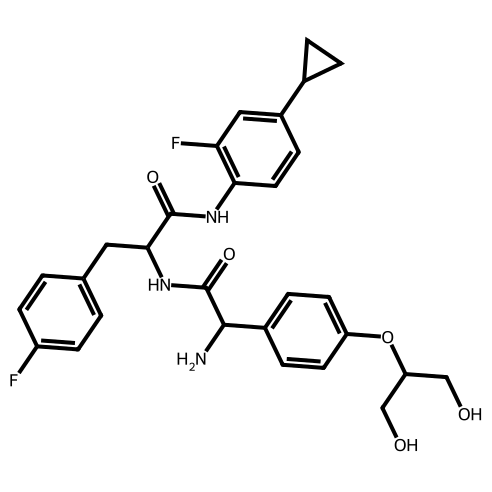 NC(C(=O)NC(Cc1ccc(F)cc1)C(=O)Nc1ccc(C2CC2)cc1F)c1ccc(OC(CO)CO)cc1